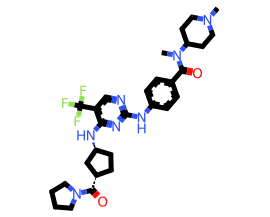 CN1CCC(N(C)C(=O)c2ccc(Nc3ncc(C(F)(F)F)c(N[C@@H]4CC[C@H](C(=O)N5CCCC5)C4)n3)cc2)CC1